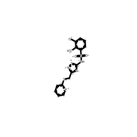 Cc1c(Cl)cccc1S(=O)(=O)Nc1nc(CSc2ccccn2)ns1